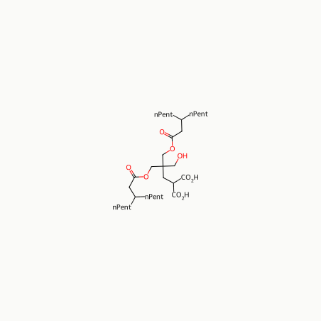 CCCCCC(CCCCC)CC(=O)OCC(CO)(COC(=O)CC(CCCCC)CCCCC)CC(C(=O)O)C(=O)O